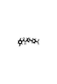 Cc1ccc(C)c(C(=O)Nc2cnn(-c3ncc(N(C)C)cn3)c2)c1